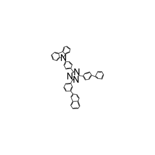 c1ccc(-c2ccc(-c3nc(-c4ccc(-n5c6ccccc6c6ccccc65)cc4)nc(-c4cccc(-c5ccc6ccccc6c5)c4)n3)cc2)cc1